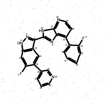 Fc1cc2[nH]nc(-c3nc4c(-c5ccccc5F)ccnc4[nH]3)c2cc1-c1cccnc1